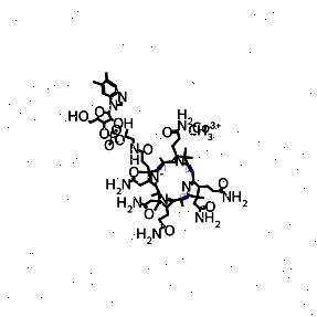 C/C1=C2N=C(/C=C3N=C(/C(C)=C4\[N-]C(C(CC(N)=O)C4(C)CCC(=O)NCC(C)OP(=O)([O-])OC4C(CO)OC(n5cnc6cc(C)c(C)cc65)C4O)C4(C)N=C1C(CCC(N)=O)C4(C)CC(N)=O)C(CCC(N)=O)C\3(C)C)C(CCC(N)=O)C/2(C)CC(N)=O.[CH3-].[Co+3]